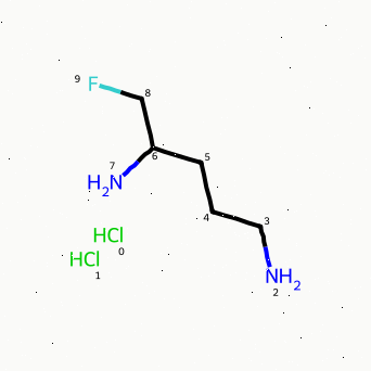 Cl.Cl.NCCCC(N)CF